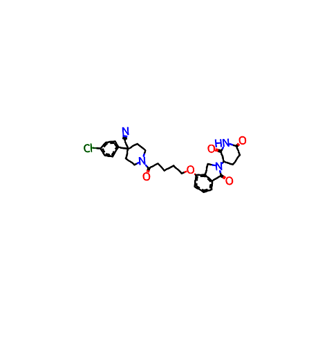 N#CC1(c2ccc(Cl)cc2)CCN(C(=O)CCCCOc2cccc3c2CN(C2CCC(=O)NC2=O)C3=O)CC1